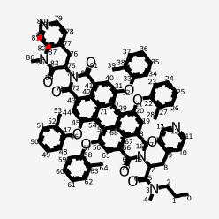 CCCN(C)C(=O)C(Cc1ccncc1)N1C(=O)c2cc(Oc3ccccc3C)c3c4c(Oc5ccccc5C)cc5c6c(cc(Oc7ccccc7C)c(c7c(Oc8ccccc8C)cc(c2c37)C1=O)c64)C(=O)N(C(Cc1ccncc1)C(=O)N(C)CCC)C5=O